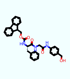 O=C(CNC(=O)[C@H](Cc1ccccc1)NC(=O)OCC1c2ccccc2-c2ccccc21)Nc1ccc(CO)cc1